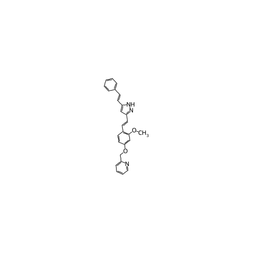 COc1cc(OCc2ccccn2)ccc1C=Cc1cc(C=Cc2ccccc2)[nH]n1